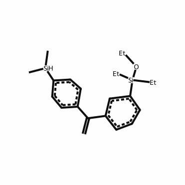 C=C(c1ccc([SiH](C)C)cc1)c1cccc([Si](CC)(CC)OCC)c1